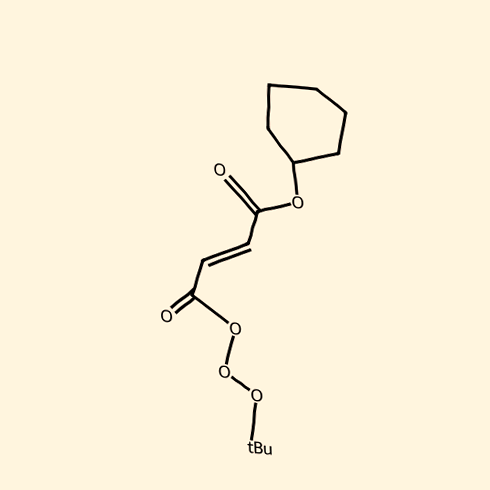 CC(C)(C)OOOC(=O)C=CC(=O)OC1CCCCC1